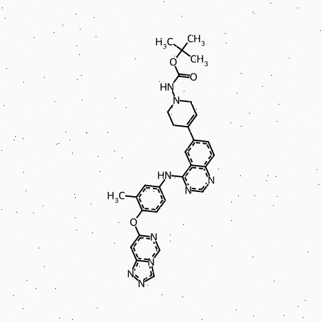 Cc1cc(Nc2ncnc3ccc(C4=CCN(NC(=O)OC(C)(C)C)CC4)cc23)ccc1Oc1cc2nncn2cn1